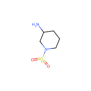 NC1CCCN([SH](=O)=O)C1